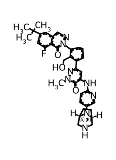 Cn1nc(-c2cccc(-n3ncc4cc(C(C)(C)C)cc(F)c4c3=O)c2CO)cc(Nc2ccc(N3[C@@H]4CC[C@H]3CNC4)cn2)c1=O